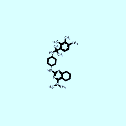 Cc1ccc(C(C)(C)N[C@H]2CC[C@@H](Nc3nc4c(c(N(C)C)n3)CCCC4)CC2)c(C)c1C